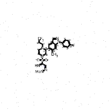 CN/N=C\C(=N)S(=O)(=O)N1CCN(CCC(F)(F)F)[C@@H](c2cc3cnn(-c4ccc(F)cc4)c3cc2C)C1